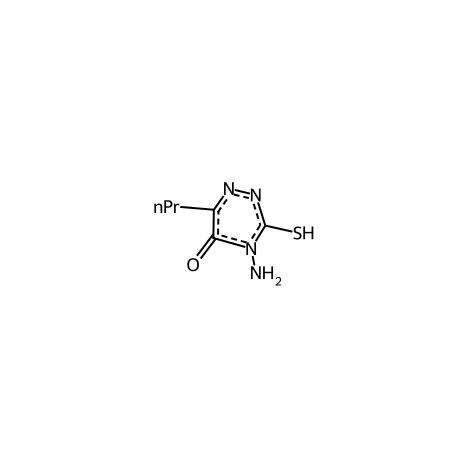 CCCc1nnc(S)n(N)c1=O